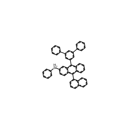 c1ccc([SiH2]c2ccc3c(-c4cccc5ccccc45)c4ccccc4c(-c4cc(-c5ccccc5)cc(-c5ccccc5)c4)c3c2)cc1